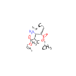 C/C=C(/OOCC)C(N)C(C)C(=O)OCC